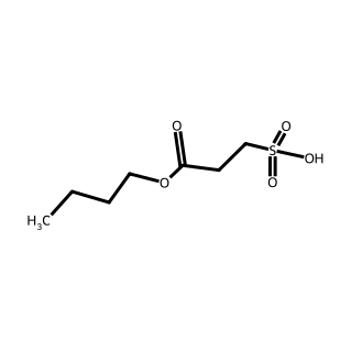 CCCCOC(=O)CCS(=O)(=O)O